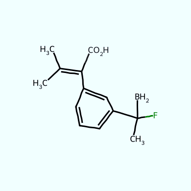 BC(C)(F)c1cccc(C(C(=O)O)=C(C)C)c1